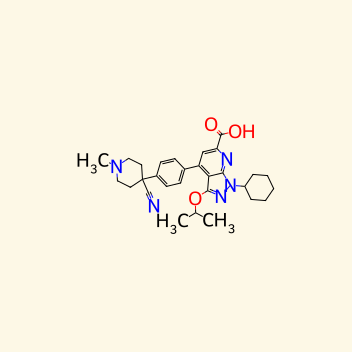 CC(C)Oc1nn(C2CCCCC2)c2nc(C(=O)O)cc(-c3ccc(C4(C#N)CCN(C)CC4)cc3)c12